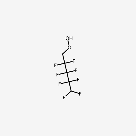 OOCC(F)(F)C(F)(F)C(F)(F)C(F)F